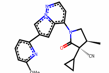 COc1cccc(-c2cc3c(N4C[C@@H](C)[C@@](C#N)(C5CC5)C4=O)ccnn3c2)n1